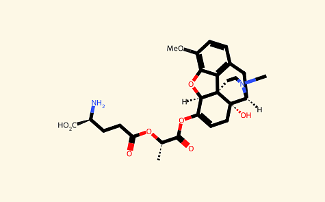 COc1ccc2c3c1O[C@@H]1C(OC(=O)[C@H](C)OC(=O)CC[C@H](N)C(=O)O)=CC[C@]4(O)[C@H](C2)N(C)CC[C@@]314